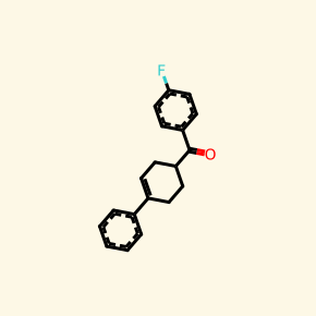 O=C(c1ccc(F)cc1)C1CC=C(c2ccccc2)CC1